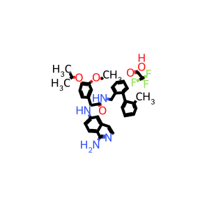 CCOc1cc(C(Nc2ccc3c(N)nccc3c2)C(=O)NCc2ccccc2-c2ccccc2C)ccc1OC(C)C.O=C(O)C(F)(F)F